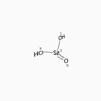 O=[Se](O)O